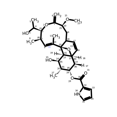 C=C1O[C@H](C(C)O)[C@H](C)/C=C(\C)[C@]23O[C@@H]4[C@H](C=CC2C[C@@H]1OC)[C@H]3[C@H](O)[C@@H](C)[C@H]4OC(=O)c1ccc[nH]1